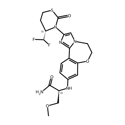 COC[C@H](Nc1ccc2c(c1)OCCn1cc(N3C(=O)SCC[C@H]3C(F)F)nc1-2)C(N)=O